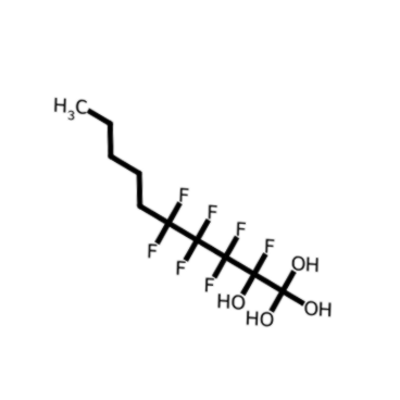 CCCCCC(F)(F)C(F)(F)C(F)(F)C(O)(F)C(O)(O)O